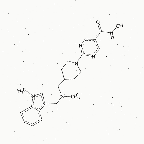 CN(Cc1cn(C)c2ccccc12)CC1CCN(c2ncc(C(=O)NO)cn2)CC1